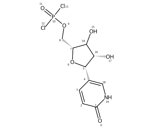 O=c1ccc([C@@H]2O[C@H](COP(=O)(Cl)Cl)C(O)[C@@H]2O)c[nH]1